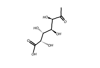 CC(=O)[C@H](O)[C@@H](O)[C@@H](O)[C@H](O)C(=O)O